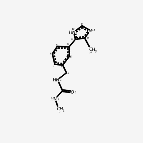 CNC(=O)NCc1cccc(-c2[nH]cnc2C)c1